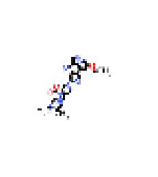 CCOc1cc(-c2ccc(N3CCC(CN4CCN(C)C(C)C4)(NC(=O)O)CC3)nc2)c2c(C#N)cnn2c1